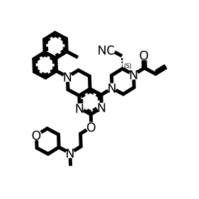 C=CC(=O)N1CCN(c2nc(OCCN(C)C3CCOCC3)nc3c2CCN(c2cccc4cccc(C)c24)C3)C[C@@H]1CC#N